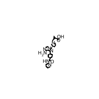 Nc1nccn2c([C@@H]3CCCN(CC4CC4C(=O)O)C3)nc(-c3ccc(C(=O)Nc4ccccn4)cc3)c12